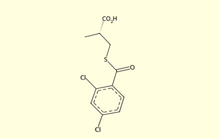 C[C@@H](CSC(=O)c1ccc(Cl)cc1Cl)C(=O)O